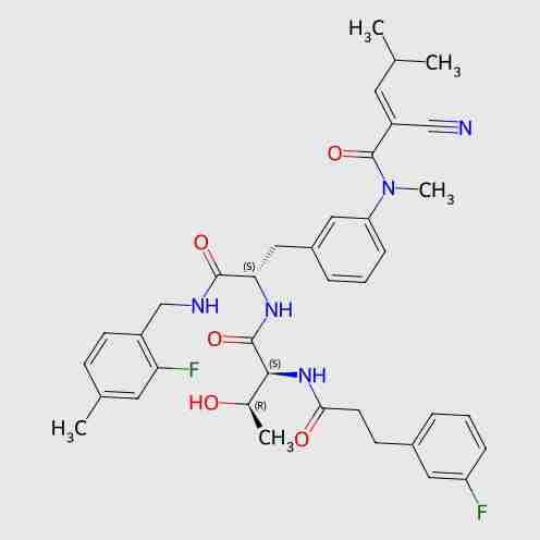 Cc1ccc(CNC(=O)[C@H](Cc2cccc(N(C)C(=O)C(C#N)=CC(C)C)c2)NC(=O)[C@@H](NC(=O)CCc2cccc(F)c2)[C@@H](C)O)c(F)c1